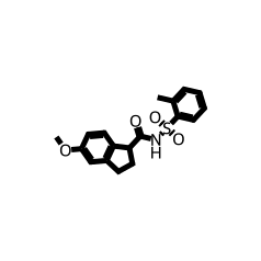 COc1ccc2c(c1)CCC2C(=O)NS(=O)(=O)c1ccccc1C